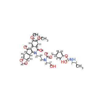 CCCNC(O)Oc1ccc(COC(=O)N(CCO)CCCn2c3c(c4cc(OC)c(OC)cc4c2=O)C(=O)c2cc4c(cc2-3)OCO4)cc1